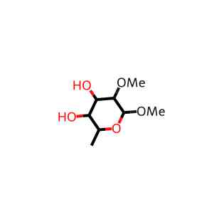 COC1OC(C)C(O)C(O)C1OC